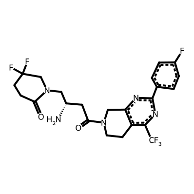 N[C@@H](CC(=O)N1CCc2c(nc(-c3ccc(F)cc3)nc2C(F)(F)F)C1)CN1CC(F)(F)CCC1=O